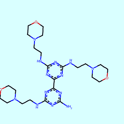 Nc1nc(NCCN2CCOCC2)nc(-c2nc(NCCN3CCOCC3)nc(NCCN3CCOCC3)n2)n1